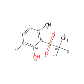 Cc1ccc(C#N)c(S(=O)(=O)C(C)(C)C(F)(F)F)c1O